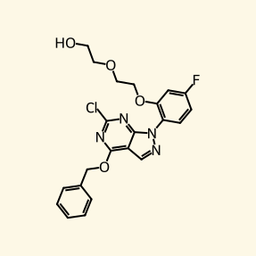 OCCOCCOc1cc(F)ccc1-n1ncc2c(OCc3ccccc3)nc(Cl)nc21